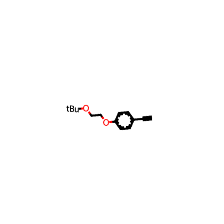 C#Cc1ccc(OCCOC(C)(C)C)cc1